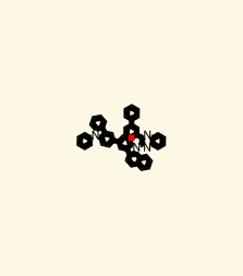 c1ccc(-c2cccc(-c3nc4ccccc4nc3-n3c4ccc(-c5ccc6c(c5)c5ccccc5n6-c5ccccc5)cc4c4ccc5ccccc5c43)c2)cc1